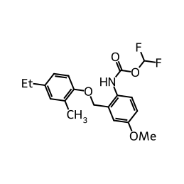 CCc1ccc(OCc2cc(OC)ccc2NC(=O)OC(F)F)c(C)c1